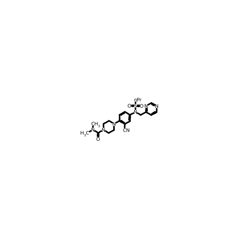 CCCS(=O)(=O)N(Cc1ccncn1)c1ccc(N2CCN(C(=O)N(C)C)CC2)c(C#N)c1